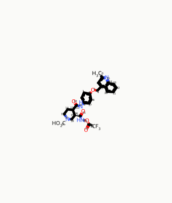 Cc1cc(COc2ccc(NC(=O)C3CCN(C(=O)O)C[C@@H]3C(=O)NOC(=O)C(F)(F)F)cc2)c2ccccc2n1